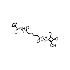 O=C(CCCCC(=O)NNc1c(O)c(=O)c1=O)NNC(=O)C12CC1C2